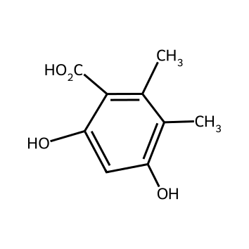 Cc1c(O)cc(O)c(C(=O)O)c1C